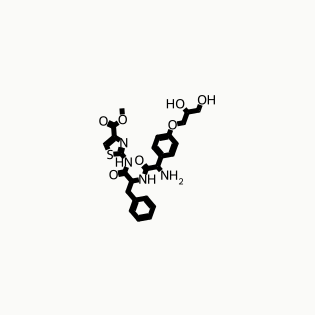 COC(=O)c1csc(NC(=O)C(Cc2ccccc2)NC(=O)C(N)c2ccc(OCC(O)CO)cc2)n1